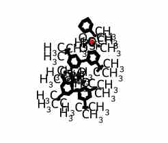 CC(C)(C)c1cc(-c2cc(C(C)(C)C)cc([Si](C)(C)C)c2Op2oc3c(C(C)(C)C)cc(C(C)(C)C)cc3c3cc(C(C)(C)C)cc(C(C)(C)C)c3o2)c(OP2Oc3ccccc3C(C)(C)O2)c([Si](C)(C)C)c1